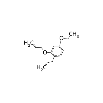 C=CCOc1cc(OCC)ccc1CC=C